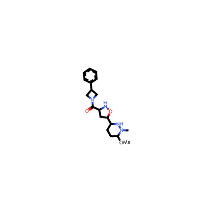 COC1CCC(C2CC(C(=O)N3CC(c4ccccc4)C3)NO2)NN1C